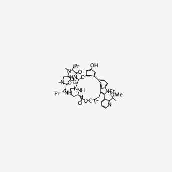 CCn1c(-c2cccnc2[C@H](C)OC)c2c3cc(ccc31)-c1cc(O)cc(c1)C[C@H](NC(=O)C(C(C)C)N(C)C(=O)CN(C)C(=O)[C@@H]1N[C@@H]1C(C)C)C(=O)N1CCC[C@H](N1)C(=O)OCC(C)(C)C2